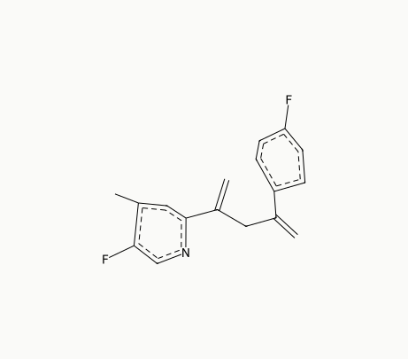 C=C(CC(=C)c1cc(C)c(F)cn1)c1ccc(F)cc1